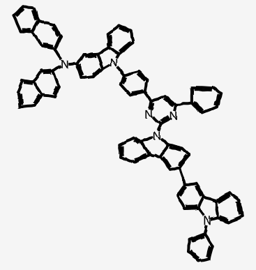 c1ccc(-c2cc(-c3ccc(-n4c5ccccc5c5cc(N(c6ccc7ccccc7c6)c6ccc7ccccc7c6)ccc54)cc3)nc(-n3c4ccccc4c4cc(-c5ccc6c(c5)c5ccccc5n6-c5ccccc5)ccc43)n2)cc1